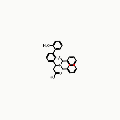 Cc1ccccc1-c1cccc(C(CC(=O)O)N(Cc2ccccc2)C(C)c2ccccc2)c1